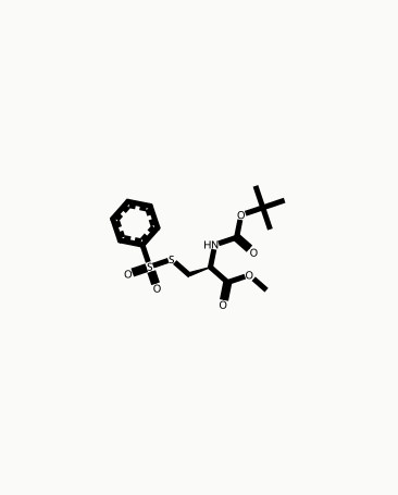 COC(=O)[C@@H](CSS(=O)(=O)c1ccccc1)NC(=O)OC(C)(C)C